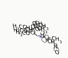 CC(CCN1CCOCC1)[C@H]1CC[C@H]2/C(=C/C=C3C[C@@H](O[Si](C)(C)C(C)(C)C)C[C@H](O[Si](C)(C)C(C)(C)C)C3)CCC[C@]12C